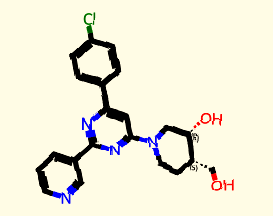 OC[C@@H]1CCN(c2cc(-c3ccc(Cl)cc3)nc(-c3cccnc3)n2)C[C@@H]1O